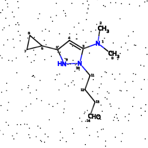 CN(C)C1=CC(C2CC2)NN1CCCC=O